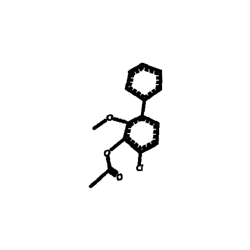 COc1c(-c2ccccc2)ccc(Cl)c1OC(C)=O